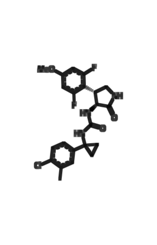 COc1cc(F)c([C@@H]2CNC(=O)[C@H]2NC(=O)NC2(c3ccc(Cl)c(C)c3)CC2)c(F)c1